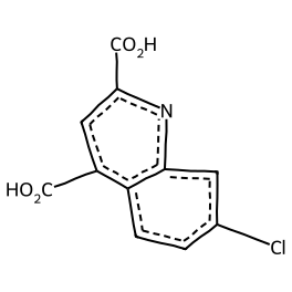 O=C(O)c1cc(C(=O)O)c2ccc(Cl)cc2n1